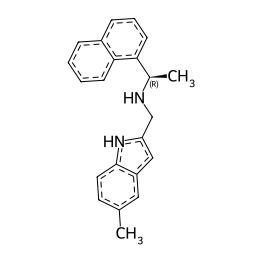 Cc1ccc2[nH]c(CN[C@H](C)c3cccc4ccccc34)cc2c1